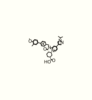 COc1ccc(C23CCC(CN(c4cc(-c5cnn(C(C)C)c5)ccn4)C(=O)[C@H]4CC[C@H](C(=O)O)CC4)(CC2)CC3)cc1C